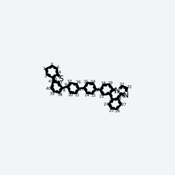 c1ccc2c(c1)sc1c(-c3ccc(-c4ccc(-c5ccc6c(c5)c5ccccc5c5nccn65)cc4)cc3)cccc12